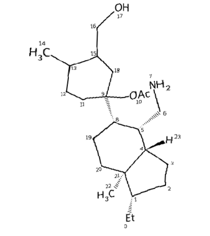 CC[C@H]1CC[C@H]2[C@@H](CN)[C@@H](C3(OC(C)=O)CCC(C)C(CO)C3)CC[C@]12C